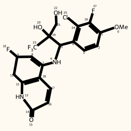 COc1ccc(C(NC2=CC(F)Cc3[nH]c(=O)ccc32)C(O)(CO)C(F)(F)F)c(Cl)c1F